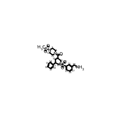 CS(=O)(=O)N1CCN(C(=O)C2CC(c3ccccc3)CN(S(=O)(=O)c3cccc(CN)c3)C2)CC1